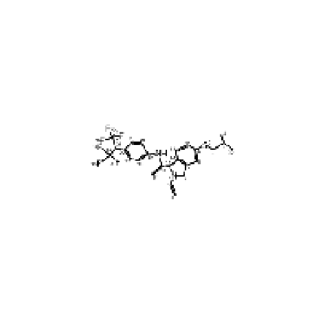 C=CN1Cc2cc(SCC(C)C)ccc2C1C(=C)Nc1ccc(C(C(F)(F)F)C(F)(F)F)cc1